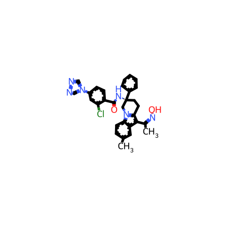 C/C(=N/O)c1c2n(c3ccc(C)cc13)C[C@@](NC(=O)c1ccc(-n3cnnc3)cc1Cl)(c1ccccc1)CC2